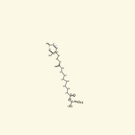 C=C/C=C\N(CCCC(=C)CCCCCCCCC(=O)OC(CC)CCCCCCCC)C(=C)C